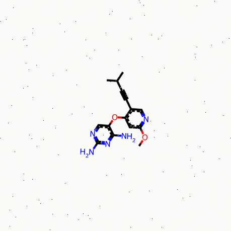 COc1cc(Oc2cnc(N)nc2N)c(C#CC(C)C)cn1